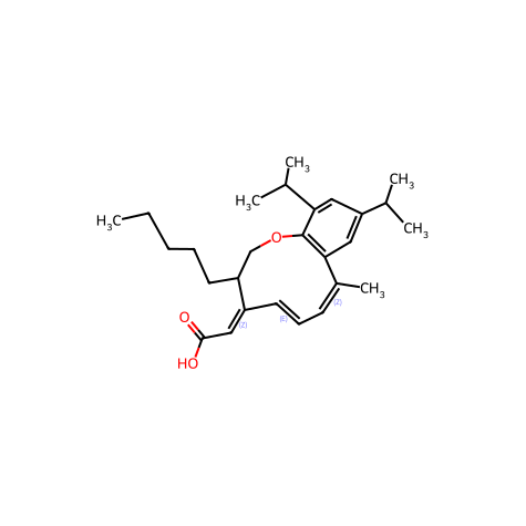 CCCCCC1COc2c(cc(C(C)C)cc2C(C)C)\C(C)=C/C=C/C1=C/C(=O)O